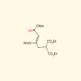 CCOC(=O)C(CC(=CC(=O)OC)OC)C(=O)OCC